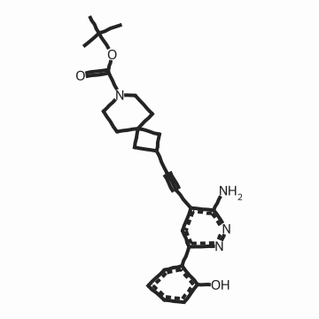 CC(C)(C)OC(=O)N1CCC2(CC1)CC(C#Cc1cc(-c3ccccc3O)nnc1N)C2